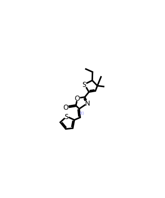 CCC1SC(C2=N/C(=C/c3cccs3)C(=O)O2)=CC1(C)C